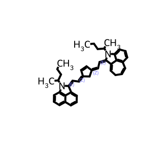 CCCC(C)n1/c(=C/C=C2C=C/C(=C\C=c3/c4cccc5cccc(c54)n3C(C)CCC)C\2)c2c3c(cccc31)C=CCC=2